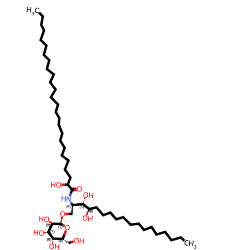 CCCCCCCCCCCCCCCCCCCCCCCCC(O)C(=O)N[C@H](CO[C@H]1O[C@H](CO)[C@H](O)[C@H](O)[C@H]1O)[C@H](O)[C@H](O)CCCCCCCCCCCCCC